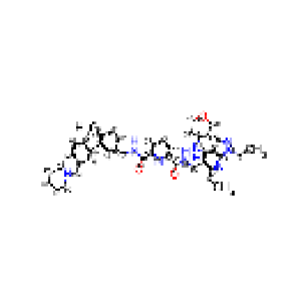 CCc1nc2c(cnn2CC)c(NC2CCOCC2)c1CNC(=O)c1cccc(C(=O)NCc2ccc(C)c(-c3cccc(CN4CCCCC4)c3)c2)n1